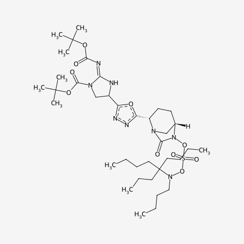 CCCCN(OS(=O)(=O)ON1C(=O)N2C[C@@H]1CC[C@H]2c1nnc(C2CN(C(=O)OC(C)(C)C)/C(=N\C(=O)OC(C)(C)C)N2)o1)C(CCC)(CCCC)CCCC